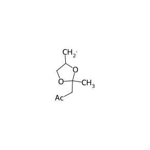 [CH2]C1COC(C)(CC(C)=O)O1